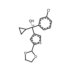 O[C@](c1cccc(Cl)c1)(c1csc(C2OCCO2)c1)C1CC1